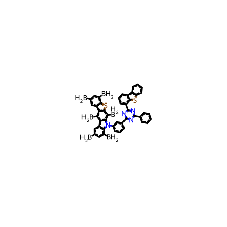 Bc1cc(B)c2sc3c(B)c4c(c(B)c3c2c1)c1cc(B)cc(B)c1n4-c1cccc(-c2nc(-c3ccccc3)nc(-c3cccc4c3sc3ccccc34)n2)c1